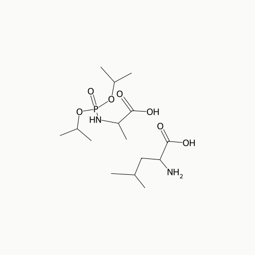 CC(C)CC(N)C(=O)O.CC(C)OP(=O)(NC(C)C(=O)O)OC(C)C